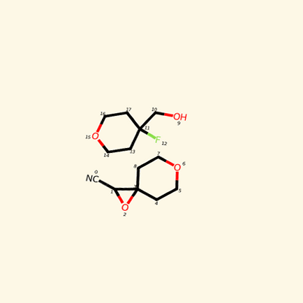 N#CC1OC12CCOCC2.OCC1(F)CCOCC1